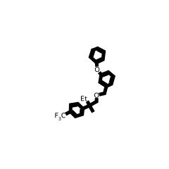 CCC(C)(COCc1cccc(Oc2ccccc2)c1)c1ccc(C(F)(F)F)cc1